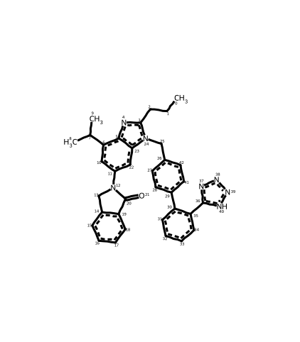 CCCc1nc2c(C(C)C)cc(N3Cc4ccccc4C3=O)cc2n1Cc1ccc(-c2ccccc2-c2nnn[nH]2)cc1